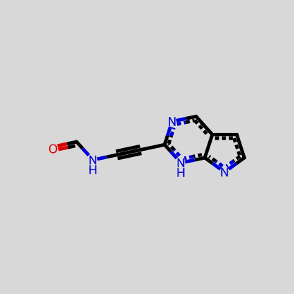 O=CNC#Cc1ncc2ccnc-2[nH]1